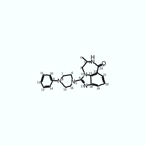 CC1Cn2c(N3CCN(c4ccccc4)CC3)nc3cccc(c32)C(=O)N1